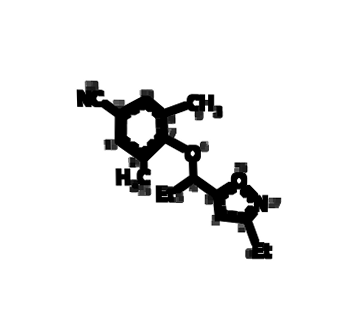 CCc1cc(C(CC)Oc2c(C)cc(C#N)cc2C)on1